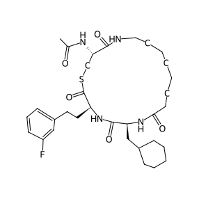 CC(=O)N[C@H]1CSC(=O)[C@H](CCc2cccc(F)c2)NC(=O)[C@H](CC2CCCCC2)NC(=O)CCCCCCCNC1=O